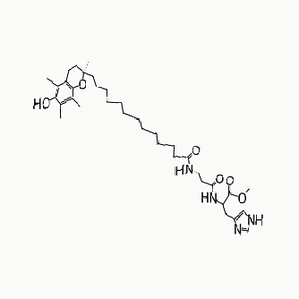 COC(=O)C(Cc1c[nH]cn1)NC(=O)CCNC(=O)CCCCCCCCCCCC[C@]1(C)CCc2c(C)c(O)c(C)c(C)c2O1